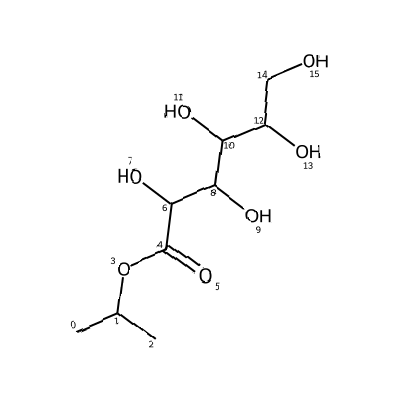 CC(C)OC(=O)C(O)C(O)C(O)C(O)CO